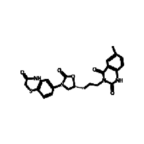 Cc1ccc2[nH]c(=O)n(CCC[C@@H]3CN(c4ccc5c(c4)NC(=O)CS5)C(=O)O3)c(=O)c2c1